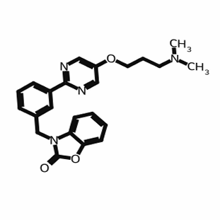 CN(C)CCCOc1cnc(-c2cccc(Cn3c(=O)oc4ccccc43)c2)nc1